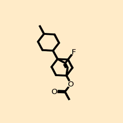 CC(=O)OC12C=C(F)C(C3CCC(C)CC3)(CC1)CC2